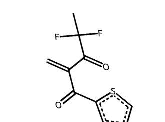 C=C(C(=O)c1cccs1)C(=O)C(C)(F)F